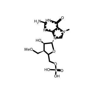 COC[C@@H]1C(COP(=O)(O)O)O[C@@H](n2c[n+](C)c3c(=O)[nH]c(N)nc32)[C@@H]1O